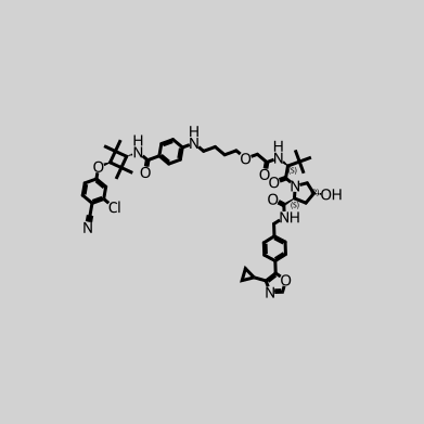 CC(C)(C)[C@H](NC(=O)COCCCCNc1ccc(C(=O)N[C@H]2C(C)(C)[C@H](Oc3ccc(C#N)c(Cl)c3)C2(C)C)cc1)C(=O)N1C[C@H](O)C[C@H]1C(=O)NCc1ccc(-c2ocnc2C2CC2)cc1